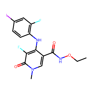 CCONC(=O)c1cn(C)c(=O)c(F)c1Nc1ccc(I)cc1F